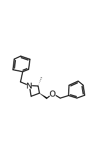 C[C@@H]1[C@@H](COCc2ccccc2)CN1Cc1ccccc1